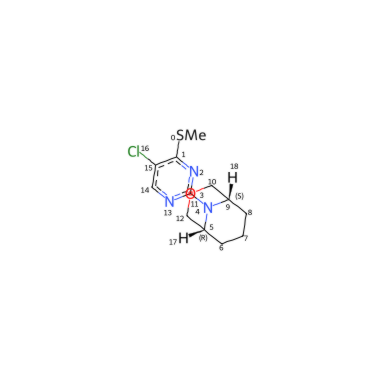 CSc1nc(N2[C@@H]3CCC[C@H]2COC3)ncc1Cl